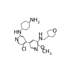 COc1ncc(-c2cc(N[C@H]3CC[C@H](N)CC3)ncc2Cl)cc1NCC1CCOCC1